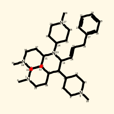 CN1CCC(C(C2CCN(C)CC2)C(C=CCc2ccccc2)N(C2CCN(C)CC2)C2CCN(C)CC2)CC1